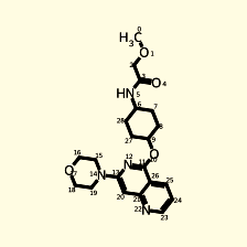 COCC(=O)NC1CCC(Oc2nc(N3CCOCC3)cc3ncccc23)CC1